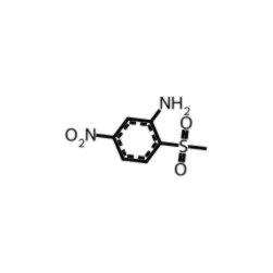 CS(=O)(=O)c1ccc([N+](=O)[O-])cc1N